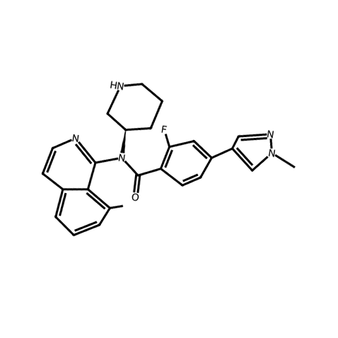 Cc1cccc2ccnc(N(C(=O)c3ccc(-c4cnn(C)c4)cc3F)[C@@H]3CCCNC3)c12